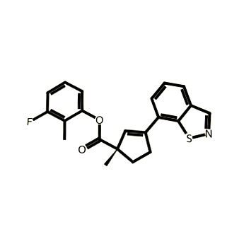 Cc1c(F)cccc1OC(=O)[C@]1(C)C=C(c2cccc3cnsc23)CC1